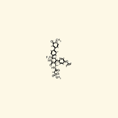 Cn1ccc(-c2ccc([C@]3(C(F)(F)F)CC(c4ccc(OC(F)F)cn4)=C(CNC(=O)CS(C)(=O)=O)C(=O)N3)cc2)cc1=O